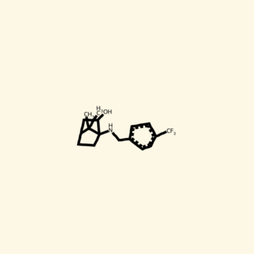 CC1(C)C2CCC1(NCc1ccc(C(F)(F)F)cc1)C(O)C2